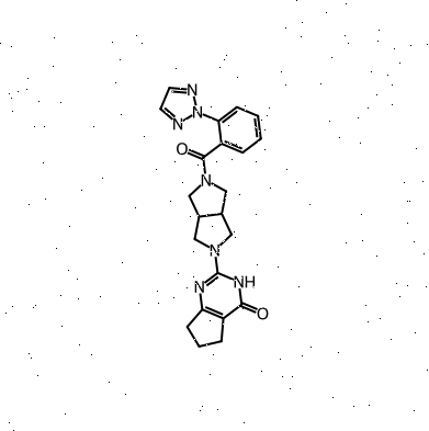 O=C(c1ccccc1-n1nccn1)N1CC2CN(c3nc4c(c(=O)[nH]3)CCC4)CC2C1